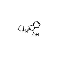 OC1c2ccccc2C[C@@H]1NC1CCCC1